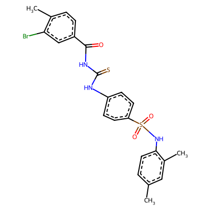 Cc1ccc(NS(=O)(=O)c2ccc(NC(=S)NC(=O)c3ccc(C)c(Br)c3)cc2)c(C)c1